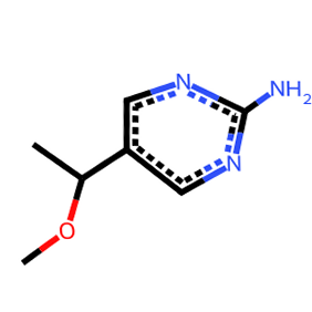 COC(C)c1cnc(N)nc1